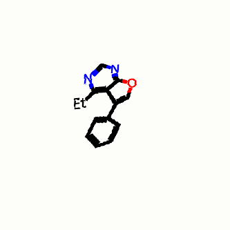 CCc1ncnc2occ(-c3ccccc3)c12